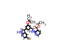 CCOC(=O)c1cccnc1NCc1cc(OC(C)C)cc(C2CNc3ncc(Br)cc32)c1